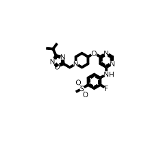 CC(C)c1noc(CN2CCC(Oc3cc(Nc4ccc(S(C)(=O)=O)cc4F)ncn3)CC2)n1